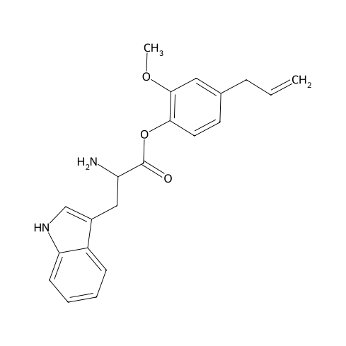 C=CCc1ccc(OC(=O)C(N)Cc2c[nH]c3ccccc23)c(OC)c1